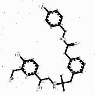 CC(C)(Cc1cccc(CC(=O)NCc2ccc(C(F)(F)F)cc2)c1)NCC(O)c1ccc(O)c(CO)n1